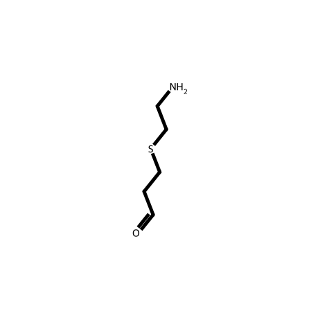 NCCSCCC=O